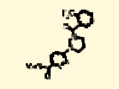 CNC(=O)c1ccc(N2CCCN(C(=O)c3ccccc3C(F)(F)F)C2)nn1